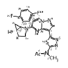 CC(=O)N(C)c1nnc(-c2cnn3ccc(N4CC[C@H]5C[C@]54c4cc(F)ccc4F)nc23)s1